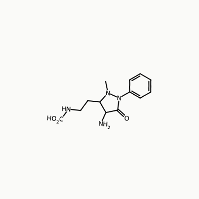 CN1C(CCNC(=O)O)C(N)C(=O)N1c1ccccc1